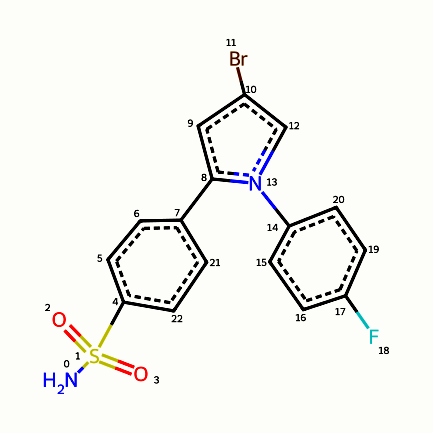 NS(=O)(=O)c1ccc(-c2cc(Br)cn2-c2ccc(F)cc2)cc1